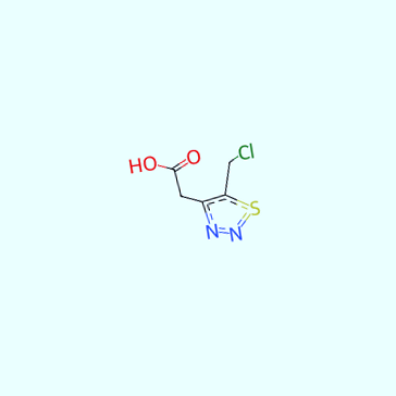 O=C(O)Cc1nnsc1CCl